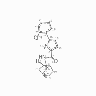 Cn1c(C(=O)N[C@H]2CN3CCC2CC3)ccc1-c1ccccc1Cl